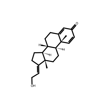 C[C@]12C=CC(=O)C=C1CC[C@@H]1[C@@H]2CC[C@]2(C)C(=CCO)CC[C@@H]12